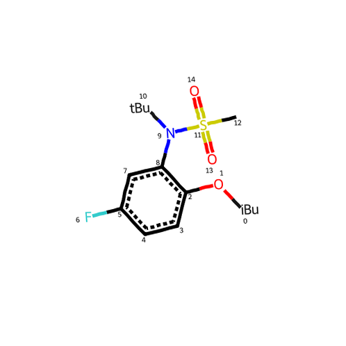 CCC(C)Oc1ccc(F)cc1N(C(C)(C)C)S(C)(=O)=O